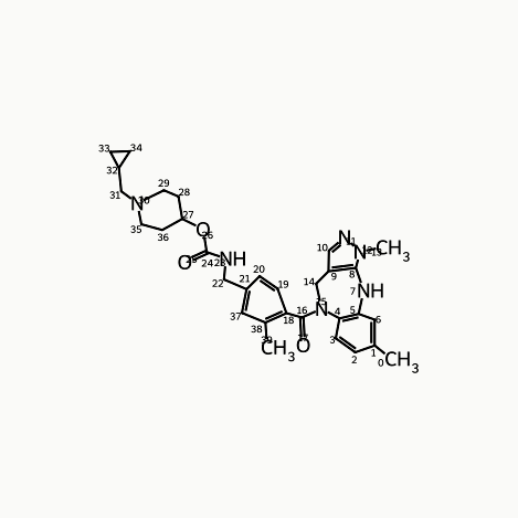 Cc1ccc2c(c1)Nc1c(cnn1C)CN2C(=O)c1ccc(CNC(=O)OC2CCN(CC3CC3)CC2)cc1C